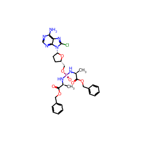 C[C@H](NP(=O)(N[C@@H](C)C(=O)OCc1ccccc1)OC[C@@H]1CC[C@H](n2c(Cl)nc3c(N)ncnc32)O1)C(=O)OCc1ccccc1